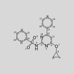 O=S(=O)(Nc1nc(OC2CC2)cc(-c2ccccc2)n1)c1ccccc1